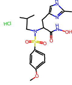 COc1ccc(S(=O)(=O)N(CC(C)C)C(Cc2c[nH]c(C)n2)C(=O)NO)cc1.Cl